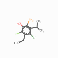 CCc1c(F)c(O)c(P)c(C(C)C)c1Cl